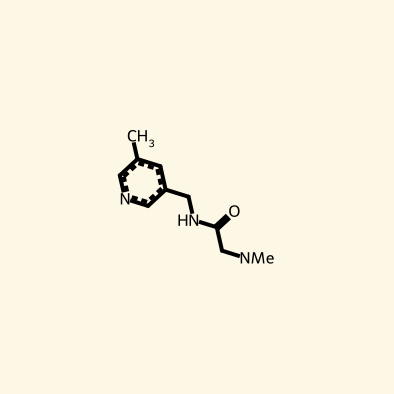 CNCC(=O)NCc1cncc(C)c1